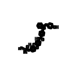 CCCN(CC)C(=O)Cc1ccc(Oc2ccc(NC(=O)c3ccc(-n4cc(CN5CCC(O)CC5)c5ccccc54)cc3)cc2C)cc1